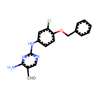 Nc1nc(Nc2ccc(OCc3ccccc3)c(Cl)c2)ncc1C=O